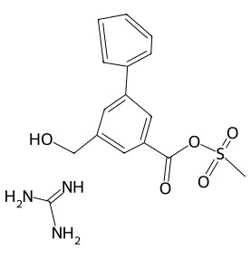 CS(=O)(=O)OC(=O)c1cc(CO)cc(-c2ccccc2)c1.N=C(N)N